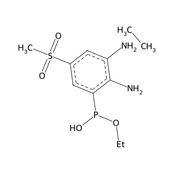 CC.CCOP(O)c1cc(S(C)(=O)=O)cc(N)c1N